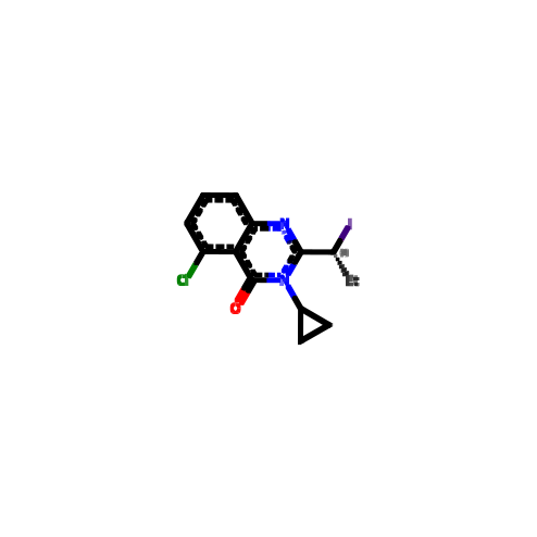 CC[C@@H](I)c1nc2cccc(Cl)c2c(=O)n1C1CC1